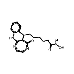 O=C(CCCCCC1c2ccccc2Nc2nccnc(=O)c21)NO